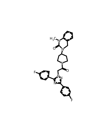 CN1C(=O)N(C2CCN(C(=O)Cn3nc(-c4ccc(F)cc4)nc3-c3ccc(F)cc3)CC2)Cc2ccccc21